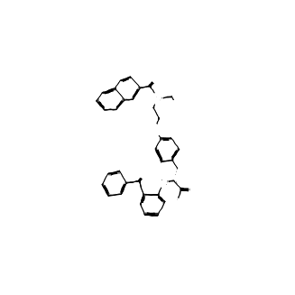 CCN(CCOc1ccc(C[C@H](Nc2ccccc2C(=O)c2ccccc2)C(=O)OC)cc1)C(=O)c1ccc2ccccc2c1